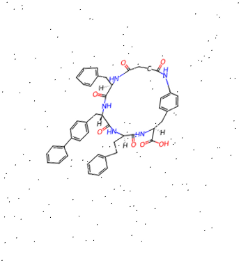 O=C1CCC(=O)N[C@H](Cc2ccccc2)C(=O)N[C@@H](Cc2ccc(-c3ccccc3)cc2)C(=O)N[C@H](CCc2ccccc2)C(=O)N[C@H](C(=O)O)Cc2ccc(cc2)N1